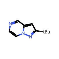 CC(C)(C)c1cc2cnccn2n1